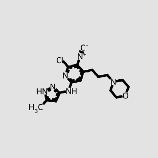 [C-]#[N+]c1c(CCCN2CCOCC2)cc(Nc2cc(C)[nH]n2)nc1Cl